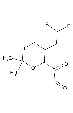 CC1(C)OCC(CC(F)F)C(C(=O)C=O)O1